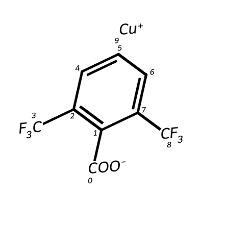 O=C([O-])c1c(C(F)(F)F)cccc1C(F)(F)F.[Cu+]